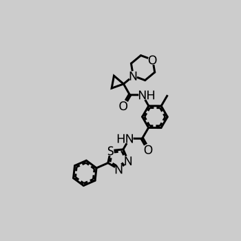 Cc1ccc(C(=O)Nc2nnc(-c3ccccc3)s2)cc1NC(=O)C1(N2CCOCC2)CC1